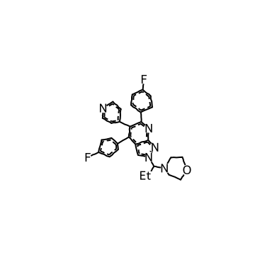 CCC(N1CCOCC1)n1cc2c(-c3ccc(F)cc3)c(-c3ccncc3)c(-c3ccc(F)cc3)nc2n1